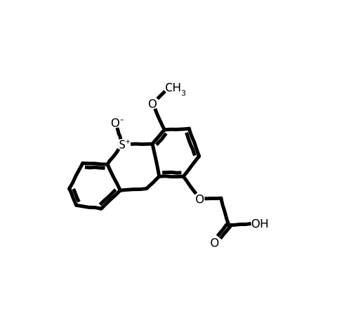 COc1ccc(OCC(=O)O)c2c1[S+]([O-])c1ccccc1C2